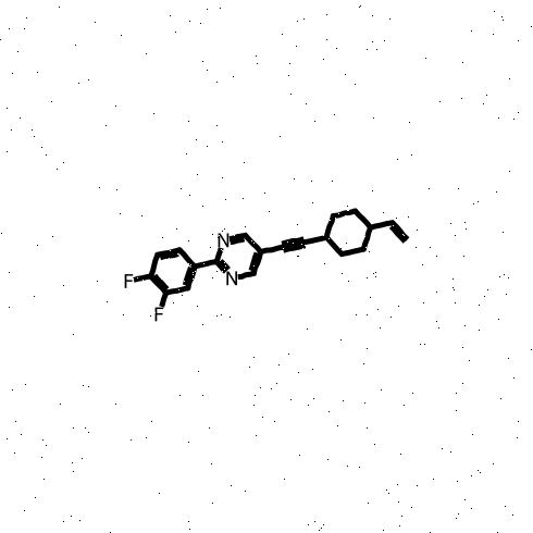 C=CC1CCC(C#Cc2cnc(-c3ccc(F)c(F)c3)nc2)CC1